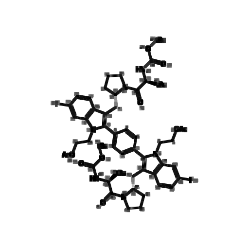 CC(=O)OCCn1c(-c2ccc(-c3c(C[C@@H]4CCCN4C(=O)[C@@H](NC(=O)OC(C)(C)C)C(C)(C)C)c4ccc(F)cc4n3CCOC(C)=O)cc2)c(C[C@@H]2CCCN2C(=O)[C@@H](NC(=O)OC(C)(C)C)C(C)(C)C)c2ccc(F)cc21